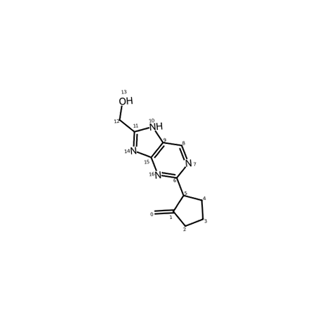 C=C1CCCC1c1ncc2[nH]c(CO)nc2n1